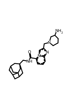 NC1CCCN(Cc2cn3c(C(=O)NCC45CC6CC7CC(C4)C7(C6)C5)cccc3n2)C1